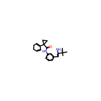 CC(C)(C)/C(N)=C/c1cccc(NC(=O)C2(C3=CCCC=C3)CC2)c1